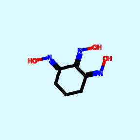 O/N=C1/CCCC(=N\O)/C1=N/O